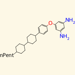 CCCCCC1CCC(C2CCC(c3ccc(Oc4cc(N)cc(N)c4)cc3)CC2)CC1